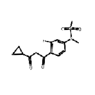 CN(c1ccc(C(=O)CC(=O)C2CC2)c(F)c1)S(C)(=O)=O